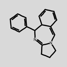 C1=CC2=CN3CCCC3=NC(c3ccccc3)C2C=C1